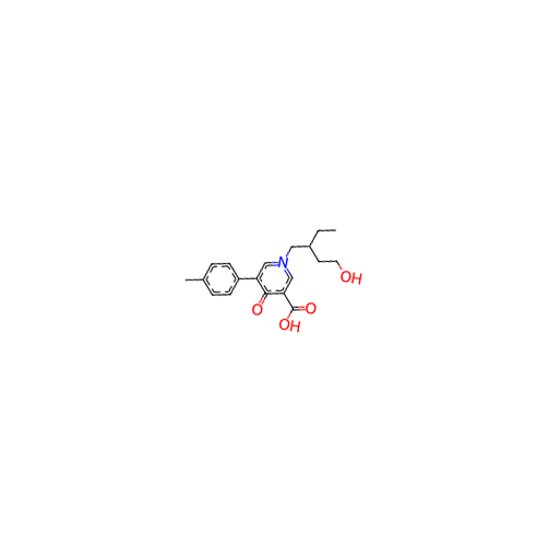 CCC(CCO)Cn1cc(C(=O)O)c(=O)c(-c2ccc(C)cc2)c1